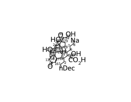 CCCCCCCCCCCCCCCCC[CH2][Na].C[C@]12C=CC(=O)C=C1CC[C@@H]1[C@@H]2[C@@H](O)C[C@@]2(C)[C@H]1CC[C@]2(O)C(=O)CO.O=C(O)CO